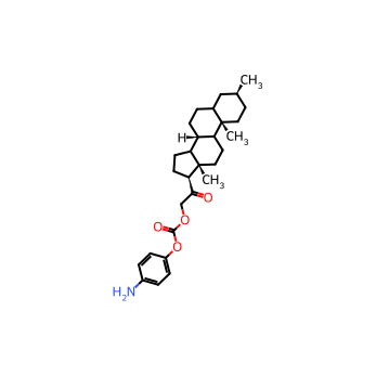 C[C@H]1CC[C@@]2(C)C(CC[C@@H]3C2CC[C@@]2(C)C3CC[C@@H]2C(=O)COC(=O)Oc2ccc(N)cc2)C1